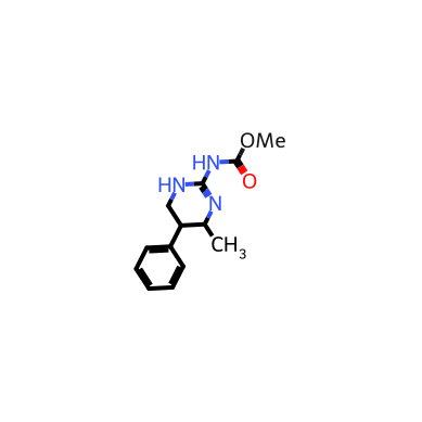 COC(=O)NC1=NC(C)C(c2ccccc2)CN1